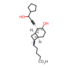 O=C(O)CCC/C=C1/C[C@H]2[C@H](C#CC(O)C3CCCC3)[C@@H](O)CC[C@@H]12